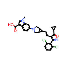 Cn1cc(C(=O)O)c2ccc(N3CC4C(C=Cc5c(-c6c(Cl)cccc6Cl)noc5C5CC5)C4C3)cc21